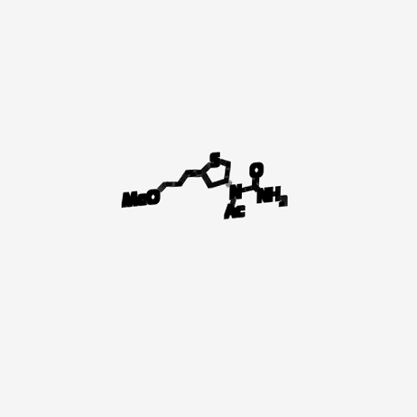 COCC/C=C1\C[C@@H](N(C(C)=O)C(N)=O)CS1